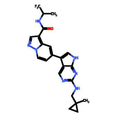 CC(NC(=O)c1cnn2ccc(-c3c[nH]c4nc(NCC5(C)CC5)ncc34)cc12)C(F)(F)F